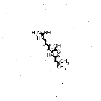 CN(C)CC(=O)N[C@@H](CCCCNC(=N)N)C(=O)O